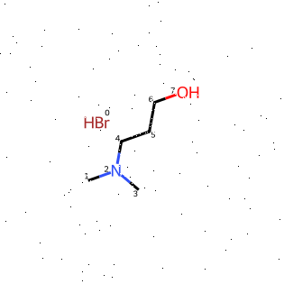 Br.CN(C)CCCO